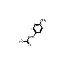 Nc1ccc(SCC(=O)O)cc1